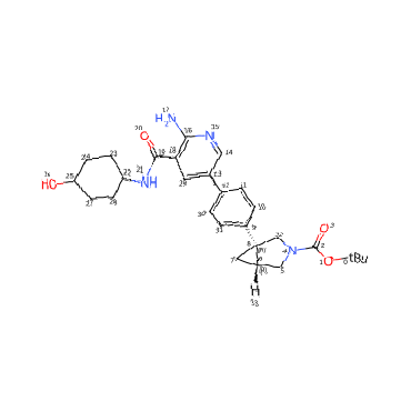 CC(C)(C)OC(=O)N1C[C@@H]2C[C@@]2(c2ccc(-c3cnc(N)c(C(=O)NC4CCC(O)CC4)c3)cc2)C1